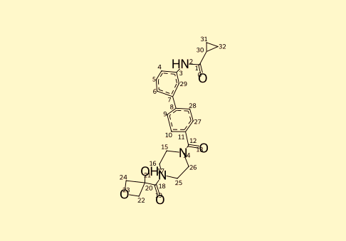 O=C(Nc1cccc(-c2ccc(C(=O)N3CCN(C(=O)C4(O)COC4)CC3)cc2)c1)C1CC1